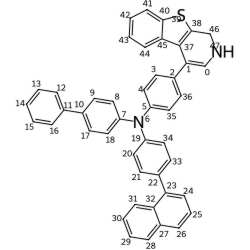 C1=C(c2ccc(N(c3ccc(-c4ccccc4)cc3)c3ccc(-c4cccc5ccccc45)cc3)cc2)c2c(sc3ccccc23)CN1